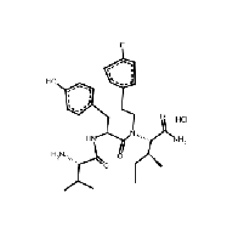 CC[C@H](C)[C@@H](C(N)=O)N(CCc1ccc(Cl)cc1)C(=O)[C@H](Cc1ccc(O)cc1)NC(=O)[C@@H](N)C(C)C.Cl